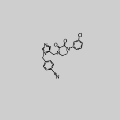 N#Cc1ccc(Cn2cncc2CN2CCN(c3cccc(Cl)c3)C(=O)C2=O)cc1